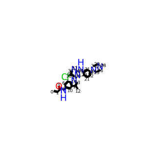 C=CC(=O)Nc1ccc2c(c1)c(C)cn2-c1nc(Nc2cccc(N3CCN(C)CC3)c2)ncc1Cl